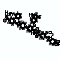 CC(C)c1ccccc1[C@@H]1CN(C(N)=O)CCN1C1CC2(CCN(c3ccc(C(=O)NS(=O)(=O)c4cnc(NCC5CCC(C)(O)CC5)c([N+](=O)[O-])c4)c(Oc4cnc5[nH]cc(F)c5c4)c3)CC2)C1